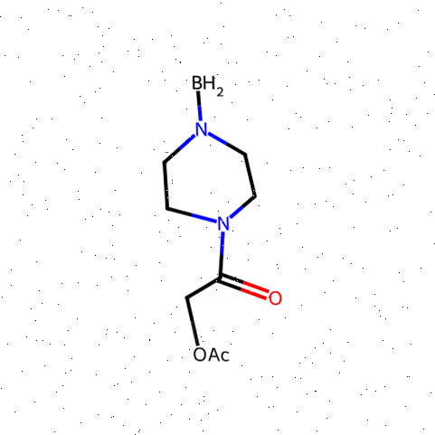 BN1CCN(C(=O)COC(C)=O)CC1